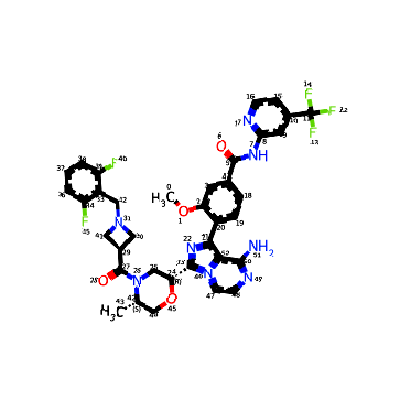 COc1cc(C(=O)Nc2cc(C(F)(F)F)ccn2)ccc1-c1nc([C@H]2CN(C(=O)C3CN(Cc4c(F)cccc4F)C3)[C@@H](C)CO2)n2ccnc(N)c12